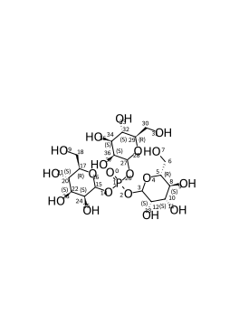 O=P(OC1O[C@H](CO)[C@@H](O)[C@H](O)[C@@H]1O)(OC1O[C@H](CO)[C@@H](O)[C@H](O)[C@@H]1O)OC1O[C@H](CO)[C@@H](O)[C@H](O)[C@@H]1O